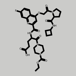 CCOC(=O)N1CCN(C(=O)C(CCC(=O)O)NC(=O)c2cc(OCC(=O)N3CCCC3C(=O)NC3CCC3)c3ccc(F)cc3n2)CC1